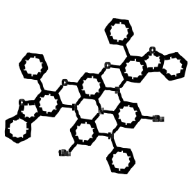 CC(C)(C)c1cc2c3c(c1)N(c1ccccc1)c1cc(C(C)(C)C)cc4c1N3c1c3c(cc5c1B4c1cc4c(oc6ccccc64)c(-c4ccccc4)c1O5)Oc1c(cc4c(oc5ccccc54)c1-c1ccccc1)B23